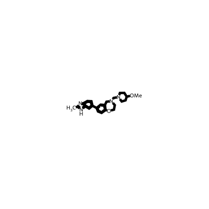 COC1CCN(CN2CCOc3ccc(-c4ccc5nc(C)[nH]c5c4)cc3C2)CC1